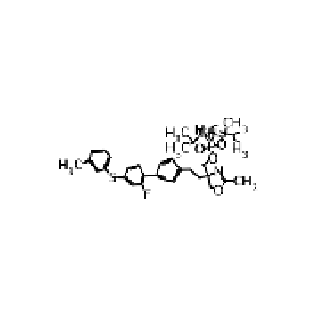 CC1=NC(CCc2ccc(-c3ccc(Sc4cccc(C)c4)cc3F)cc2)(COP(=O)(OC(C)(C)C)OC(C)(C)C)CO1